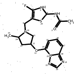 CC(=O)NC1NC(F)=C(CN2CC(Oc3cccc4ncnn34)CC2C)S1